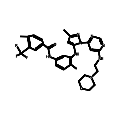 Cc1cc(Nc2cc(NC(=O)c3ccc(C)c(C(F)(F)F)c3)ccc2C)n(-c2cc(NCCN3CCOCC3)ncn2)n1